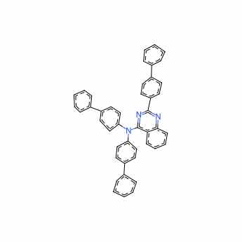 c1ccc(-c2ccc(-c3nc(N(c4ccc(-c5ccccc5)cc4)c4ccc(-c5ccccc5)cc4)c4ccccc4n3)cc2)cc1